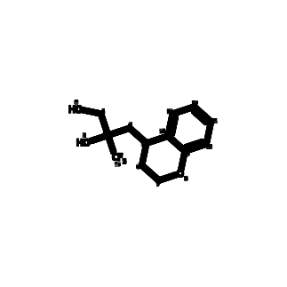 OCC(O)(CC1CCOc2ccccc21)C(F)(F)F